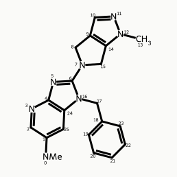 CNc1cnc2nc(N3Cc4cnn(C)c4C3)n(Cc3ccccc3)c2c1